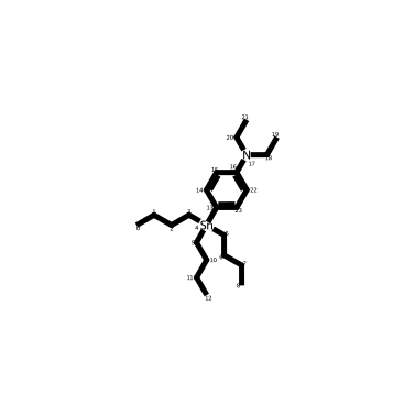 CCC[CH2][Sn]([CH2]CCC)([CH2]CCC)[c]1ccc(N(CC)CC)cc1